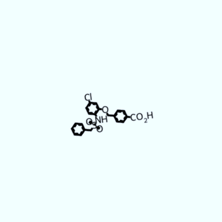 O=C(O)c1ccc(COc2cc(Cl)ccc2NS(=O)(=O)Cc2ccccc2)cc1